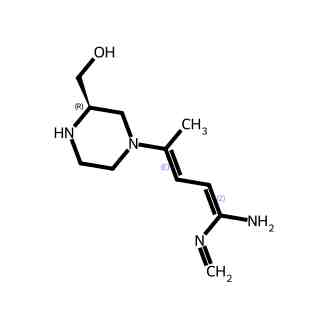 C=N/C(N)=C\C=C(/C)N1CCN[C@@H](CO)C1